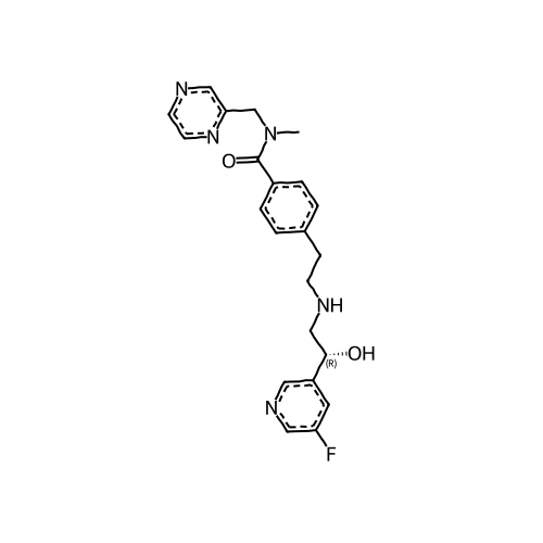 CN(Cc1cnccn1)C(=O)c1ccc(CCNC[C@H](O)c2cncc(F)c2)cc1